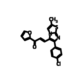 Cc1cn2c(C=CC(=O)c3ccco3)c(-c3ccc(Cl)cc3)nc2s1